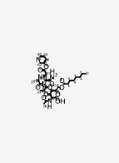 CCCCCCCC(=O)OC[C@H]1O[C@H](O)[C@H](NC(C)=O)[C@@H](OC(C)CN(C(=O)[C@H](C)N)[C@H](CCC(=O)Oc2cccnc2)C(N)=O)[C@@H]1O